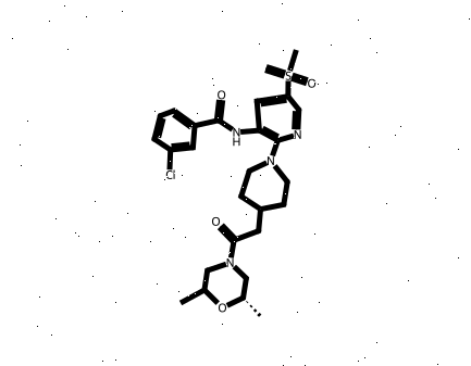 C=S(C)(=O)c1cnc(N2CCC(CC(=O)N3CC(C)O[C@@H](C)C3)CC2)c(NC(=O)c2cccc(Cl)c2)c1